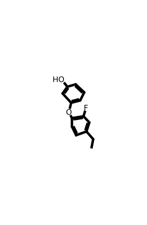 CCc1ccc(Oc2cccc(O)c2)c(F)c1